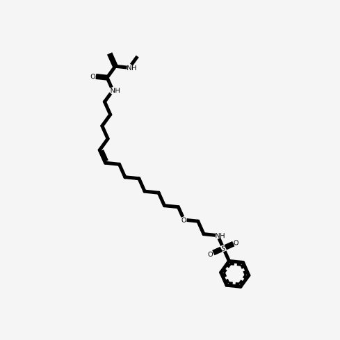 C=C(NC)C(=O)NCCCC/C=C\CCCCCCCOCCNS(=O)(=O)c1ccccc1